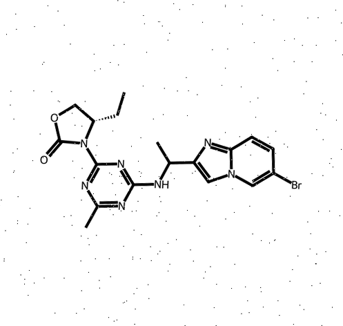 CC[C@H]1COC(=O)N1c1nc(C)nc(NC(C)c2cn3cc(Br)ccc3n2)n1